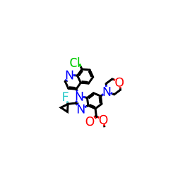 COC(=O)c1cc(N2CCOCC2)cc2c1nc(C1(F)CC1)n2-c1ccnc2c(Cl)cccc12